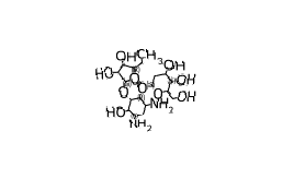 CC[C@H]1O[C@@H](OC2C(O)[C@H](N)CC(N)[C@H]2O[C@@H]2CC(O)[C@H](O)C(CO)O2)C(O)C1O